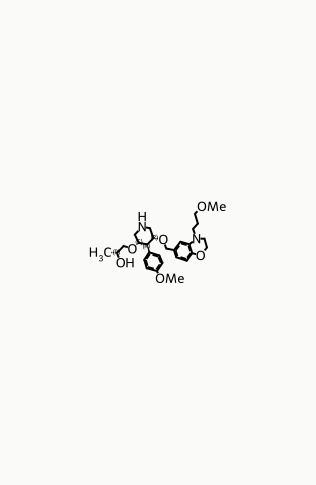 COCCCN1CCOc2ccc(CO[C@H]3CNC[C@@H](OC[C@@H](C)O)[C@@H]3c3ccc(OC)cc3)cc21